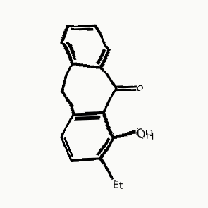 CCc1ccc2c(c1O)C(=O)c1ccccc1C2